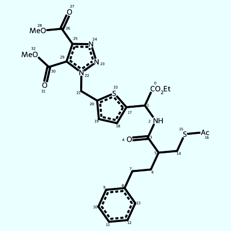 CCOC(=O)C(NC(=O)C(CCc1ccccc1)CSC(C)=O)c1ccc(Cn2nnc(C(=O)OC)c2C(=O)OC)s1